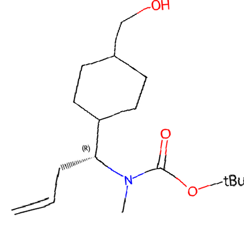 C=CC[C@H](C1CCC(CO)CC1)N(C)C(=O)OC(C)(C)C